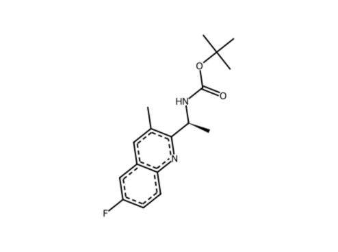 Cc1cc2cc(F)ccc2nc1[C@H](C)NC(=O)OC(C)(C)C